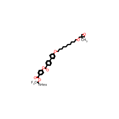 CCCCCCC(OC(=O)c1ccc(OC(=O)c2ccc(-c3ccc(OCCCCCCCCCCOCC4(C)COC4)cc3)cc2)cc1)C(F)(F)F